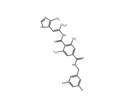 Cc1cc(C(=O)NCc2cc(F)cc(F)c2)cc(C)c1C(=O)NC(=Cc1[nH]cnc1C)C(=O)O